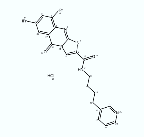 CC(C)c1cc(C(C)C)c2nc3sc(C(=O)NCCCCc4cccnc4)cn3c(=O)c2c1.Cl